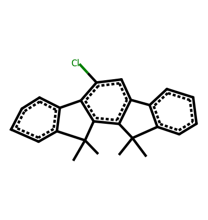 CC1(C)c2ccccc2-c2cc(Cl)c3c(c21)C(C)(C)c1ccccc1-3